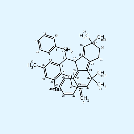 C=CCOc1c(C([SiH2]c2ccccc2)C2C3=CC(C)(C)CCC3=C3C2=c2ccccc2=CC3(C)C)cc(C)cc1C(C)(C)C